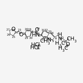 COC(C)(C)CNCc1cnc2c(C)c(NC(=O)c3ccc(OC[C@H]4CCCO4)cc3)ccc2c1.Cl.Cl